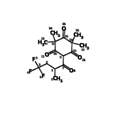 CC(CC(F)(F)F)C(=O)C1C(=O)C(C)(C)C(=O)C(C)(C)C1=O